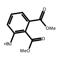 CCCCc1cccc(C(=O)OC)c1C(=O)OC